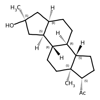 CC(=O)[C@H]1CC[C@H]2[C@@H]3CC[C@@H]4C[C@](C)(O)C[C@@H]4[C@H]3CC[C@]12C